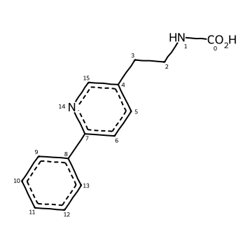 O=C(O)NCCc1ccc(-c2ccccc2)nc1